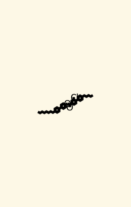 CCCCCCCCc1ccc(-c2ccc(OC(=O)c3ccc(-c4ccc(CCCCC)cc4)c(Cl)c3)cc2)cc1